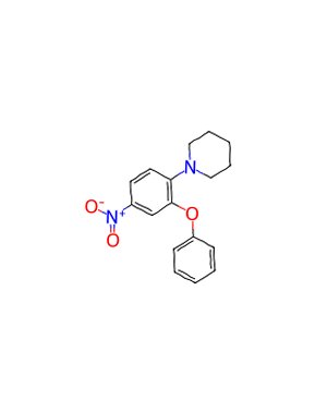 O=[N+]([O-])c1ccc(N2CCCCC2)c(Oc2ccccc2)c1